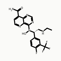 CCNC[C@H](c1ccc(F)c(C(F)(F)F)c1)N(O)c1ncnc2c(C(N)=O)ccnc12